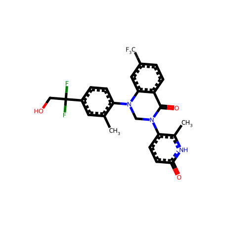 Cc1cc(C(F)(F)CO)ccc1N1CN(c2ccc(=O)[nH]c2C)C(=O)c2ccc(C(F)(F)F)cc21